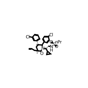 C=CC[C@@]1(C)C[C@H](c2cccc(Cl)c2)C(c2ccc(Cl)cc2)N([C@H](CNS(=O)(=O)CCC)C2CC2)C1=O